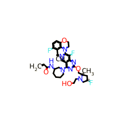 C#Cc1c(F)ccc2c1N(c1ncc3c(N4CCCCC(NC(=O)C=C)C4)nc(OC[C@]4(C)C[C@@H](F)CN4CCO)nc3c1F)CCO2